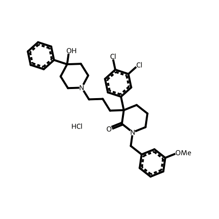 COc1cccc(CN2CCCC(CCCN3CCC(O)(c4ccccc4)CC3)(c3ccc(Cl)c(Cl)c3)C2=O)c1.Cl